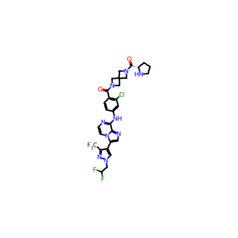 O=C(c1ccc(Nc2nccn3c(-c4cn(CC(F)F)nc4C(F)(F)F)cnc23)cc1Cl)N1CC2(C1)CN(C(=O)[C@@H]1CCCN1)C2